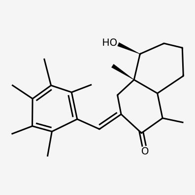 Cc1c(C)c(C)c(C=C2C[C@@]3(C)C(CCC[C@@H]3O)C(C)C2=O)c(C)c1C